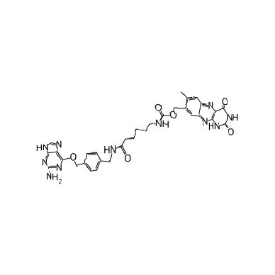 Cc1cc2nc3c(=O)[nH]c(=O)[nH]c3nc2cc1COC(=O)NCCCCCC(=O)NCc1ccc(COc2nc(N)nc3[nH]cnc23)cc1